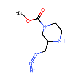 CC(C)(C)OC(=O)N1CCNC(CN=[N+]=[N-])C1